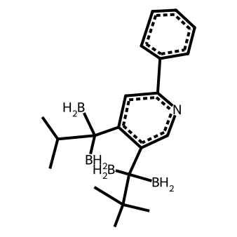 BC(B)(c1cc(-c2ccccc2)ncc1C(B)(B)C(C)(C)C)C(C)C